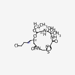 CC(C)[C@@H]1NC(O)C(C)(C)NC(=O)c2csc(n2)CNC(=O)C[C@@H](/C=C/CCCl)OC1=O